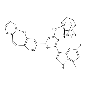 O=C(O)[C@@H]1C2CCC(CC2)[C@H]1Nc1cc(-c2ccc3c(c2)Oc2ccccc2C=C3)nc(-c2c[nH]c3c(F)cc(F)cc23)n1